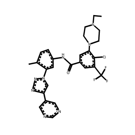 CCN1CCN(c2cc(C(=O)Nc3ccc(C)c(-n4cc(-c5cncnc5)nn4)c3)cc(C(F)(F)F)c2Cl)CC1